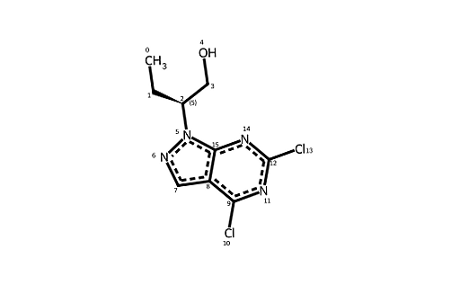 CC[C@@H](CO)n1ncc2c(Cl)nc(Cl)nc21